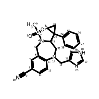 CS(=O)(=O)N1Cc2cc(C#N)ccc2N(Cc2c[nH]cn2)CC1C1(c2ccccc2)CC1